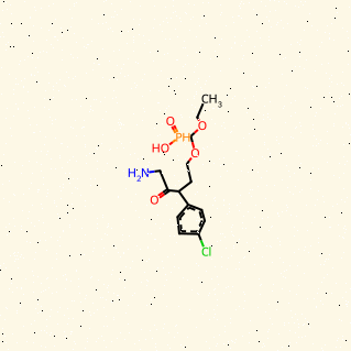 CCOC(OCCC(C(=O)CN)c1ccc(Cl)cc1)[PH](=O)O